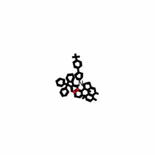 CC1C=CC2(C)C3=C1C(C)C=C1C=CC(N(c4ccc(-c5ccc(C(C)(C)C)cc5)cc4)c4cccc5c4-c4ccccc4C5(c4ccccc4)c4ccccc4)=C(c4ccccc42)C13C